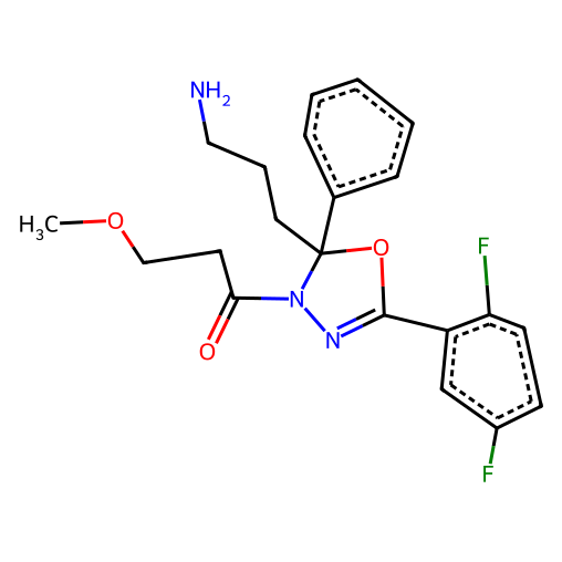 COCCC(=O)N1N=C(c2cc(F)ccc2F)OC1(CCCN)c1ccccc1